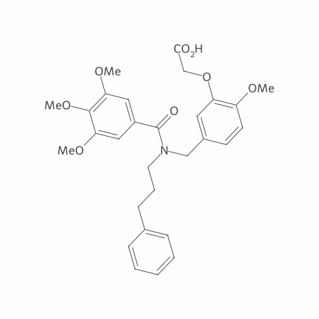 COc1ccc(CN(CCCc2ccccc2)C(=O)c2cc(OC)c(OC)c(OC)c2)cc1OCC(=O)O